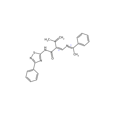 C=C(C)/C(=C\N=C(/C)c1ccccc1)C(=O)Nc1nc(-c2ccccc2)ns1